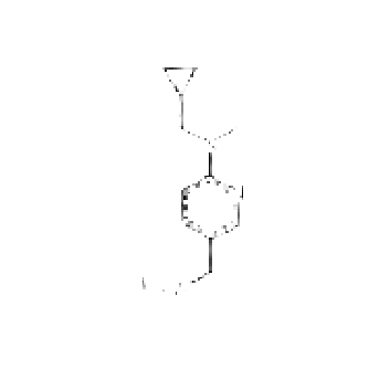 CN(CC1CC1)c1ccc(CC(=O)O)cn1